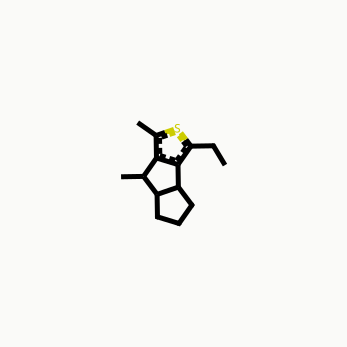 CCc1sc(C)c2c1C1CCCC1C2C